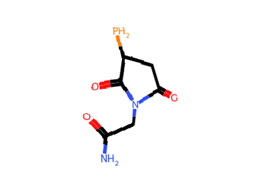 NC(=O)CN1C(=O)CC(P)C1=O